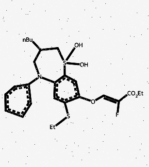 CCCCC1CN(c2ccccc2)c2cc(SCC)c(O/C=C(\F)C(=O)OCC)cc2S(O)(O)C1